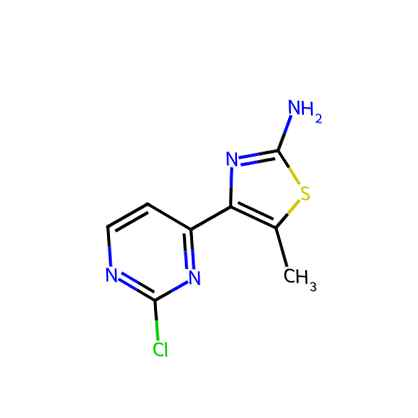 Cc1sc(N)nc1-c1ccnc(Cl)n1